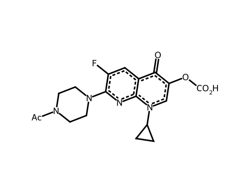 CC(=O)N1CCN(c2nc3c(cc2F)c(=O)c(OC(=O)O)cn3C2CC2)CC1